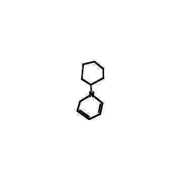 C1=CCN(C2CCCCC2)C=C1